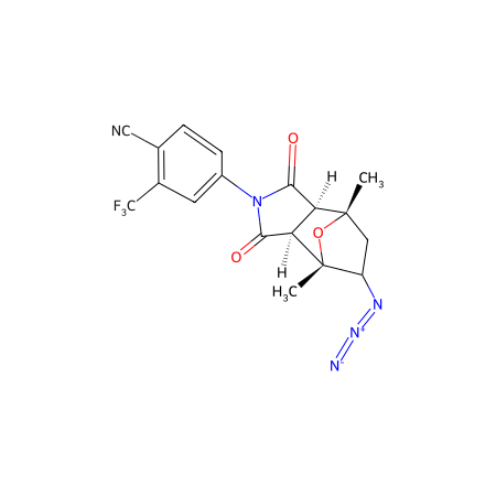 C[C@@]12CC(N=[N+]=[N-])[C@@](C)(O1)[C@H]1C(=O)N(c3ccc(C#N)c(C(F)(F)F)c3)C(=O)[C@H]12